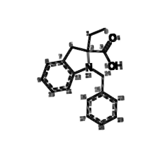 CCC1(C(=O)O)Cc2ccccc2N1Cc1ccccc1